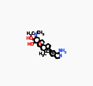 CC1C=C2C=C3[C@@H](O)[C@H](O)[C@@H](N(C)C)C[C@]34CC[C@]2(O4)C2CC=C(c3ccc4ccnc(N)c4c3)[C@@]12C